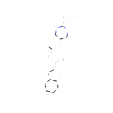 C=C(Nc1cnc(NCCCC)nc1)NC(C1=C(C)c2cc(F)ccc2C1)C(C)C